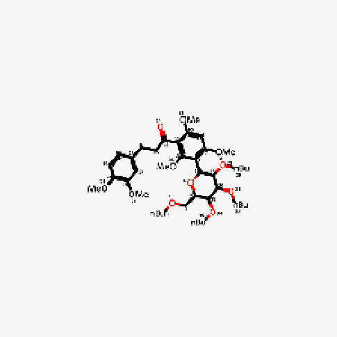 CCCCOCC1OC(c2c(OC)cc(OC)c(C(=O)CCc3ccc(OC)c(OC)c3)c2OC)C(OCCCC)C(OCCCC)C1OCCCC